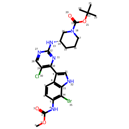 COC(=O)Nc1ccc2c(-c3nc(N[C@H]4CCCN(C(=O)OC(C)(C)C)C4)ncc3Cl)c[nH]c2c1Br